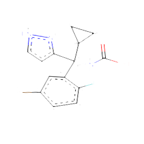 O=C(O)N[C@@](c1cc[nH]n1)(c1cc(Br)ccc1F)C1CC1